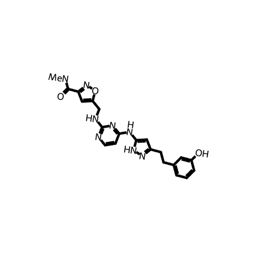 CNC(=O)c1cc(CNc2nccc(Nc3cc(CCc4cccc(O)c4)n[nH]3)n2)on1